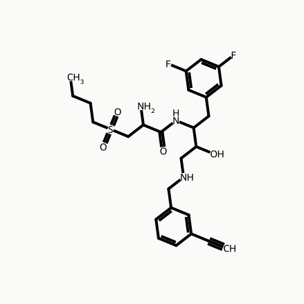 C#Cc1cccc(CNCC(O)C(Cc2cc(F)cc(F)c2)NC(=O)C(N)CS(=O)(=O)CCCC)c1